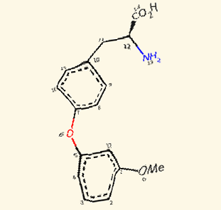 COc1cccc(Oc2ccc(C[C@H](N)C(=O)O)cc2)c1